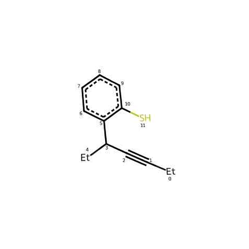 CCC#CC(CC)c1ccccc1S